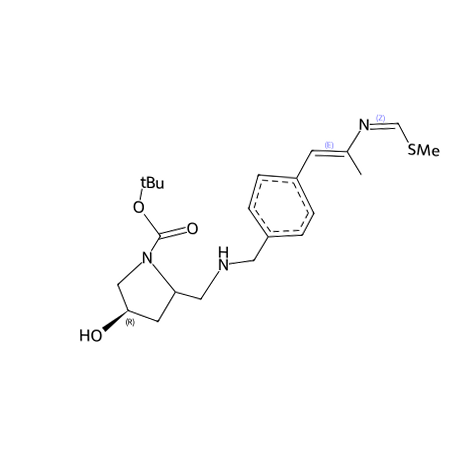 CS/C=N\C(C)=C\c1ccc(CNCC2C[C@@H](O)CN2C(=O)OC(C)(C)C)cc1